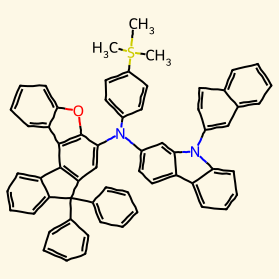 CS(C)(C)c1ccc(N(c2ccc3c4ccccc4n(-c4ccc5ccccc5c4)c3c2)c2cc3c(c4c2oc2ccccc24)-c2ccccc2C3(c2ccccc2)c2ccccc2)cc1